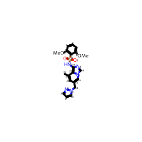 COc1cccc(OC)c1S(=O)(=O)Nc1ncn2cc(Cn3cccn3)cc(C)c12